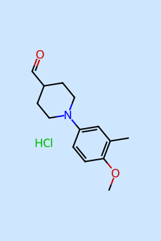 COc1ccc(N2CCC(C=O)CC2)cc1C.Cl